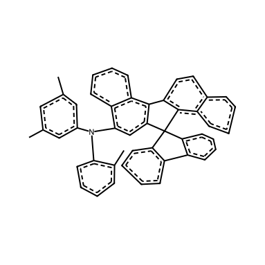 Cc1cc(C)cc(N(c2ccccc2C)c2cc3c(c4ccccc24)-c2ccc4ccccc4c2C32c3ccccc3-c3ccccc32)c1